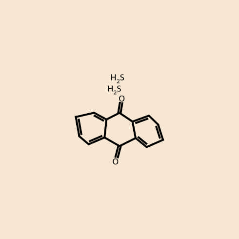 O=C1c2ccccc2C(=O)c2ccccc21.S.S